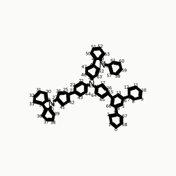 c1ccc(-c2cc(-c3ccccc3)cc(-c3ccc(N(c4ccc(-c5ccc(-n6c7ccccc7c7ccccc76)cc5)cc4)c4ccc5c6ccccc6n(-c6ccccc6)c5c4)cc3)c2)cc1